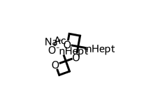 CC(=O)[O-].CCCCCCCC1(OC2(CCCCCCC)CCO2)CCO1.[Na+]